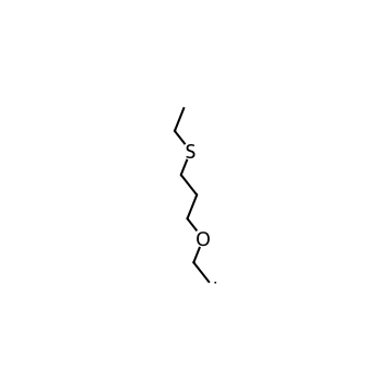 [CH2]COCCCSCC